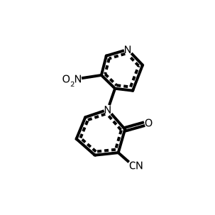 N#Cc1cccn(-c2ccncc2[N+](=O)[O-])c1=O